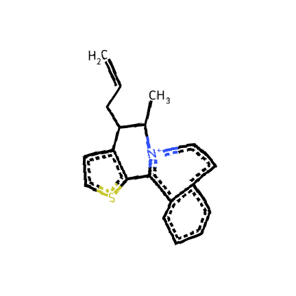 C=CCC1c2ccsc2-c2c3ccccc3cc[n+]2C1C